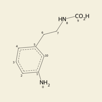 Nc1cccc(CCNC(=O)O)c1